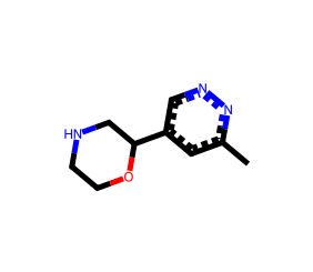 Cc1cc(C2CNCCO2)cnn1